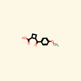 COc1ccc(C(=O)C2CCC2C(=O)O)cc1